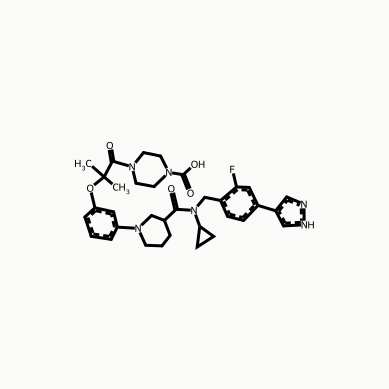 CC(C)(Oc1cccc(N2CCCC(C(=O)N(Cc3ccc(-c4cn[nH]c4)cc3F)C3CC3)C2)c1)C(=O)N1CCN(C(=O)O)CC1